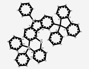 c1ccc(-n2c3ccc(C4(c5ccccc5)c5ccccc5-c5ccccc54)cc3c3c4c(ccc32)[Si](c2ccccc2)(c2ccccc2)c2ccccc2O4)cc1